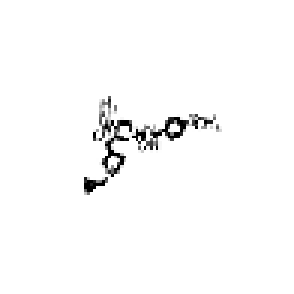 COc1ccc(-c2noc(N3CCN(C(N)=O)C(CC4CCN(CC5CC5)C4)C3)n2)cc1